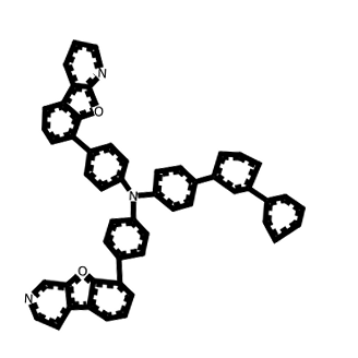 c1ccc(-c2cccc(-c3ccc(N(c4ccc(-c5cccc6c5oc5cnccc56)cc4)c4ccc(-c5cccc6c5oc5ncccc56)cc4)cc3)c2)cc1